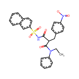 CCN(C(=O)C(Cc1ccc([N+](=O)[O-])cc1)C(=O)NS(=O)(=O)c1ccc2ccccc2c1)c1ccccc1